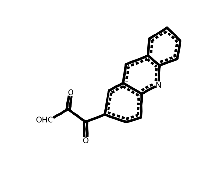 O=CC(=O)C(=O)c1ccc2nc3ccccc3cc2c1